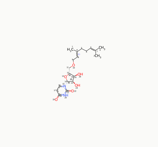 CC(C)=CCC/C(C)=C/COC[C@H]1O[C@@H](n2ccc(=O)[nH]c2=O)[C@H](O)[C@@H]1O